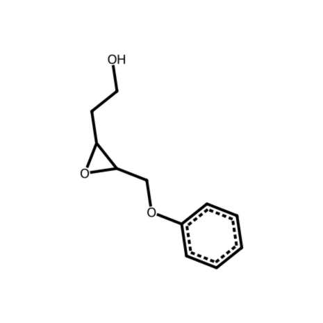 OCCC1OC1COc1ccccc1